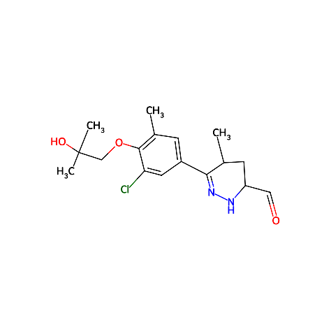 Cc1cc(C2=NNC(C=O)CC2C)cc(Cl)c1OCC(C)(C)O